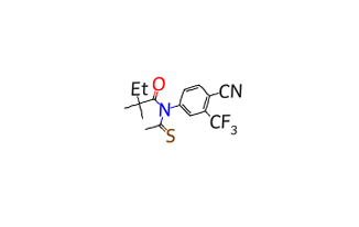 CCC(C)(C)C(=O)N(C(C)=S)c1ccc(C#N)c(C(F)(F)F)c1